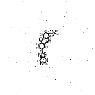 CC(C)(C)Oc1ccc(Oc2ccc(-c3nc4cncnc4s3)cc2C#N)cc1